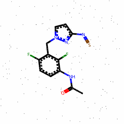 CC(=O)Nc1ccc(F)c(Cn2ccc(N=S)n2)c1F